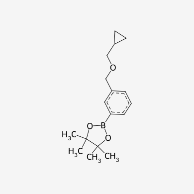 CC1(C)OB(c2cccc(COCC3CC3)c2)OC1(C)C